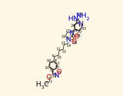 CCOc1noc2cc(CCCCCCN3CCN(c4ccnc(NN)c4)S3(=O)=O)ccc12